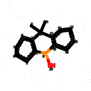 CC1(C)c2ccccc2P(O)c2ccccc21